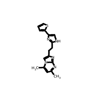 Cc1cc(C)n2cc(CCc3nc(-c4cccs4)c[nH]3)nc2n1